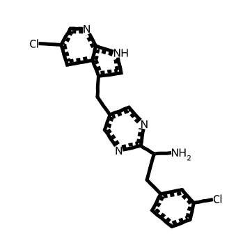 NC(Cc1cccc(Cl)c1)c1ncc(Cc2c[nH]c3ncc(Cl)cc23)cn1